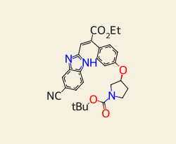 CCOC(=O)C(=Cc1nc2cc(C#N)ccc2[nH]1)c1ccc(O[C@H]2CCN(C(=O)OC(C)(C)C)C2)cc1